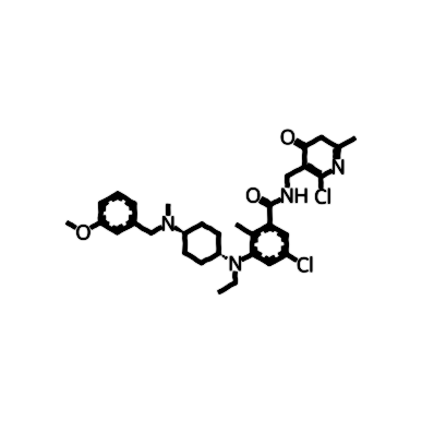 CCN(c1cc(Cl)cc(C(=O)NCC2=C(Cl)N=C(C)CC2=O)c1C)[C@H]1CC[C@H](N(C)Cc2cccc(OC)c2)CC1